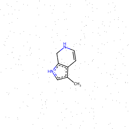 Cc1c[nH]c2c1C=CNC2